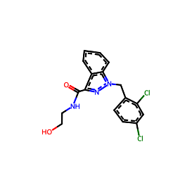 O=C(NCCO)c1nn(Cc2ccc(Cl)cc2Cl)c2ccccc12